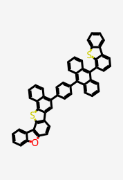 c1ccc2c(c1)oc1ccc3c4cc(-c5ccc(-c6c7ccccc7c(-c7cccc8c7sc7ccccc78)c7ccccc67)cc5)c5ccccc5c4sc3c12